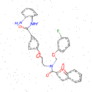 Nc1ccccc1NC(=O)c1ccc(OCCN(COc2cccc(F)c2)C(=O)c2cc3ccccc3o2)cc1